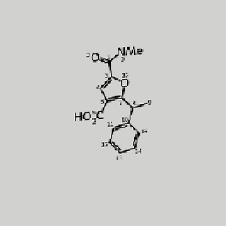 CNC(=O)c1cc(C(=O)O)c(C(C)c2ccccc2)o1